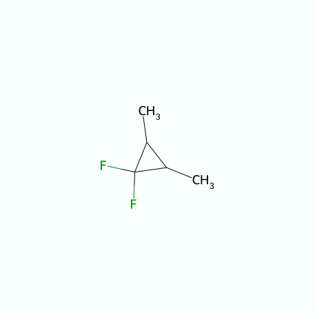 CC1C(C)C1(F)F